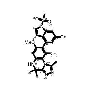 COc1cc2c(c(C(F)(F)F)c1-c1cc(F)cc3c1ccn3S(C)(=O)=O)-n1c(C)nnc1C(C)(C)N2